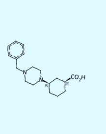 O=C(O)[C@H]1CCC[C@@H](N2CCN(Cc3ccccc3)CC2)C1